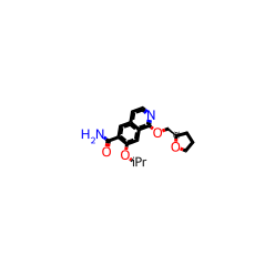 CC(C)Oc1cc2c(OC[C@H]3CCCO3)nccc2cc1C(N)=O